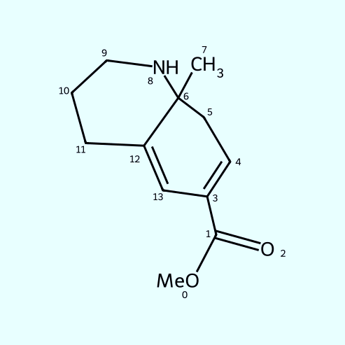 COC(=O)C1=CCC2(C)NCCCC2=C1